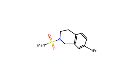 CNS(=O)(=O)N1CCc2ccc(C(C)C)cc2C1